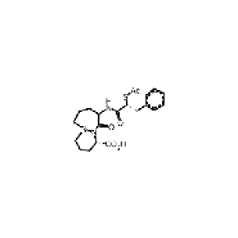 CC(=O)S[C@H](Cc1ccccc1)C(=O)NC1CCCN2CCC[C@@H](C(=O)O)N2C1=O